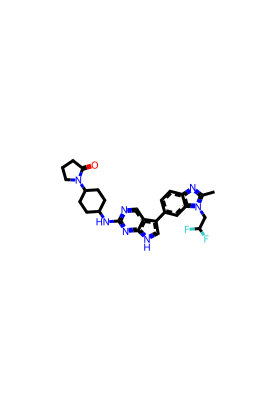 Cc1nc2ccc(-c3c[nH]c4nc(NC5CCC(N6CCCC6=O)CC5)ncc34)cc2n1CC(F)F